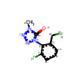 Cn1nnn(-c2c(F)cccc2CBr)c1=O